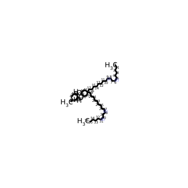 CCCCC/C=C\C/C=C\CCCCCCCCC1(CCCCCCCC/C=C\C/C=C\CCCCC)CCC2(CC1)O[C@H]1CN(C)CC[C@H]1O2